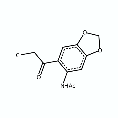 CC(=O)Nc1cc2c(cc1C(=O)CCl)OCO2